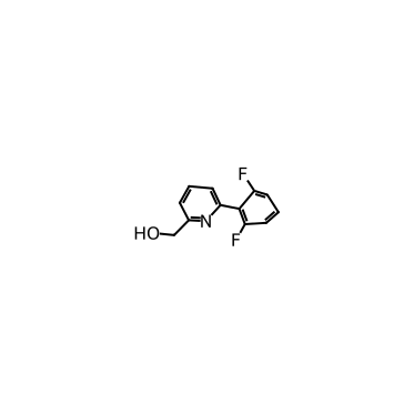 OCc1cccc(-c2c(F)cccc2F)n1